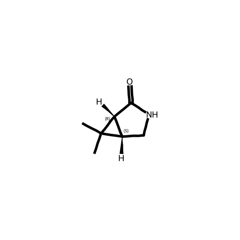 CC1(C)[C@@H]2C(=O)NC[C@@H]21